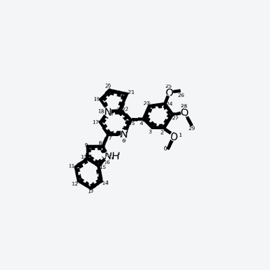 COc1cc(-c2nc(-c3cc4ccccc4[nH]3)cn3cccc23)cc(OC)c1OC